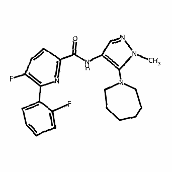 Cn1ncc(NC(=O)c2ccc(F)c(-c3ccccc3F)n2)c1N1CCCCCC1